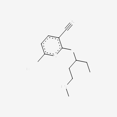 CCC(CCNC)Sc1nc(C)ccc1C#N.Cl